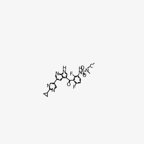 CCCN(C)S(=O)(=O)Nc1ccc(F)c(C(=O)c2c[nH]c3ncc(-c4cnc(C5CC5)nc4)cc23)c1F